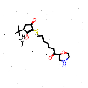 C[SiH](C)OC1=C(SCCCCCCC(=O)C2CNCCO2)C(=O)CC1C(C)(C)C